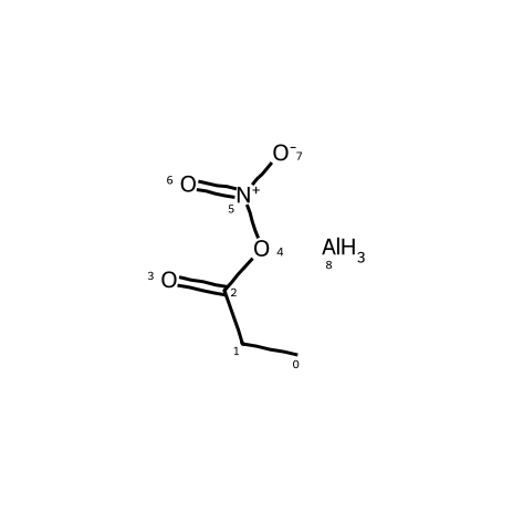 CCC(=O)O[N+](=O)[O-].[AlH3]